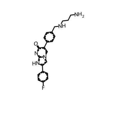 NCCCNCc1ccc(-c2cn3cc(-c4ccc(F)cc4)[nH]c3nc2=O)cc1